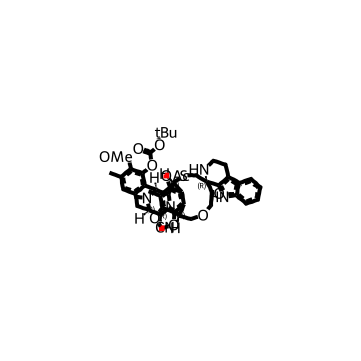 COc1c(C)cc2c(c1OC(=O)OC(C)(C)C)[C@H]1C3[C@@H]4SC[C@]5(NCCc6c5[nH]c5ccccc65)C(=O)COC[C@@H](c5c6c(c(C)c(OC(C)=O)c54)OCO6)N3[C@@H](C#N)[C@@H](C2)N1C